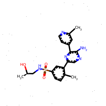 Cc1cc(-c2nc(-c3cc(S(=O)(=O)NC[C@@H](C)O)ccc3C)cnc2N)ccn1